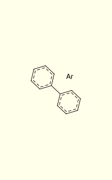 [Ar].c1ccc(-c2ccccc2)cc1